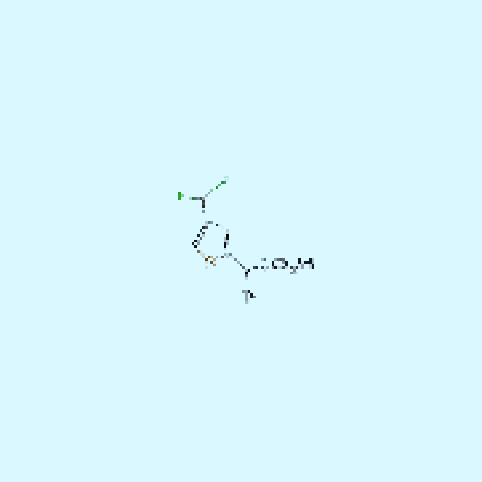 CC(C)C(C(=O)O)c1cc(C(F)F)cs1